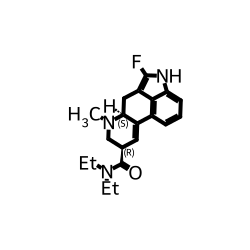 CCN(CC)C(=O)[C@@H]1C=C2c3cccc4[nH]c(F)c(c34)C[C@@H]2N(C)C1